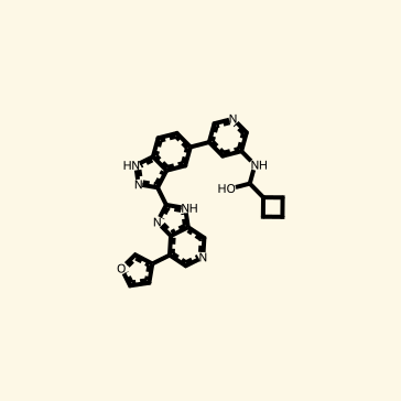 OC(Nc1cncc(-c2ccc3[nH]nc(-c4nc5c(-c6ccoc6)cncc5[nH]4)c3c2)c1)C1CCC1